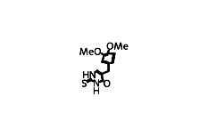 COc1ccc(Cc2c[nH]c(=S)[nH]c2=O)cc1OC